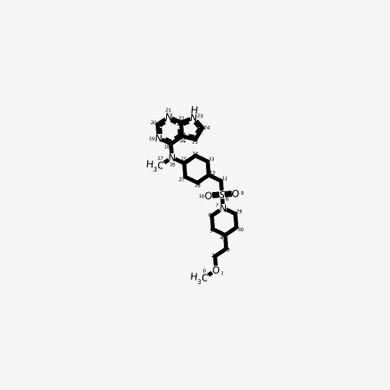 COCCC1CCN(S(=O)(=O)CC2CCC(N(C)c3ncnc4[nH]ccc34)CC2)CC1